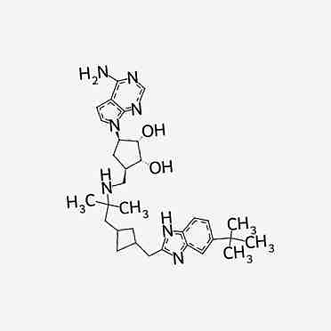 CC(C)(CC1CC(Cc2nc3cc(C(C)(C)C)ccc3[nH]2)C1)NC[C@H]1C[C@@H](n2ccc3c(N)ncnc32)[C@H](O)[C@@H]1O